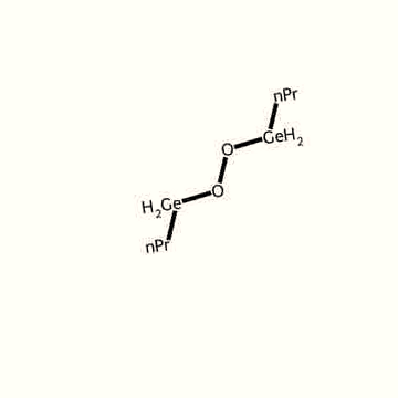 CC[CH2][GeH2][O][O][GeH2][CH2]CC